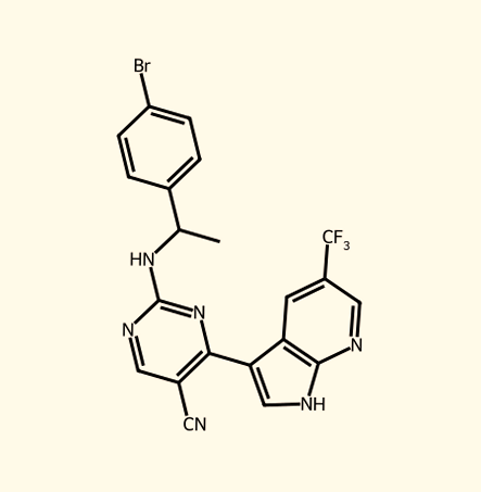 CC(Nc1ncc(C#N)c(-c2c[nH]c3ncc(C(F)(F)F)cc23)n1)c1ccc(Br)cc1